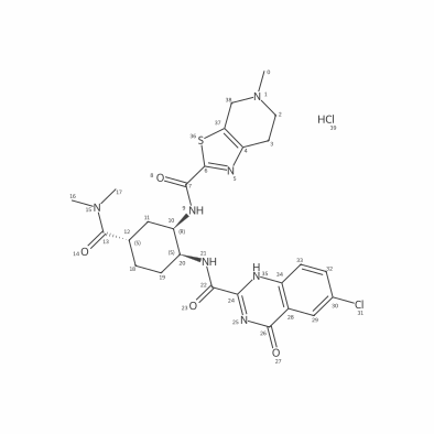 CN1CCc2nc(C(=O)N[C@@H]3C[C@@H](C(=O)N(C)C)CC[C@@H]3NC(=O)c3nc(=O)c4cc(Cl)ccc4[nH]3)sc2C1.Cl